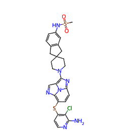 CS(=O)(=O)Nc1ccc2c(c1)CC1(CCN(c3nc4ccc(Sc5ccnc(N)c5Cl)c5ncc3n45)CC1)C2